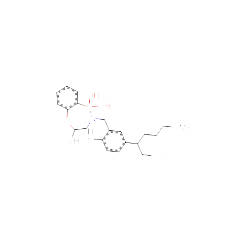 CCOC(=O)CC(CCCOC)c1ccc(C)c(CN2CC(C)Oc3ccccc3S2(O)O)c1